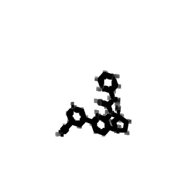 N#Cc1cncc(-c2ccc3c(n2)N(C(=O)Nc2cnccn2)[C@H]2CCN3C2)c1